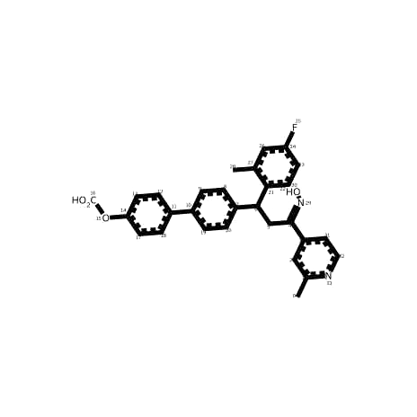 Cc1cc(/C(CC(c2ccc(-c3ccc(OC(=O)O)cc3)cc2)c2ccc(F)cc2C)=N/O)ccn1